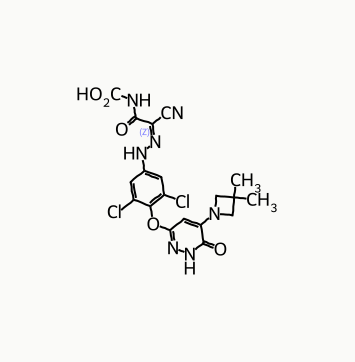 CC1(C)CN(c2cc(Oc3c(Cl)cc(N/N=C(/C#N)C(=O)NC(=O)O)cc3Cl)n[nH]c2=O)C1